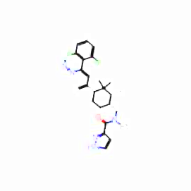 C=C(/C=C(\N=N/C)c1c(F)cccc1F)[C@@H]1CC[C@@H](CN(CC)C(=O)c2cc[nH]n2)[C@@H](C)C1(C)C